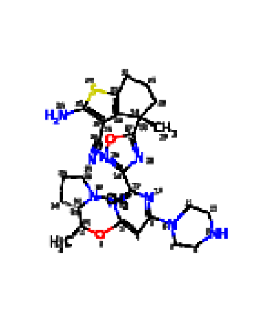 C[C@H](Oc1cc(N2CCNCC2)nc(-c2noc([C@@]3(C)CCCc4sc(N)c(C#N)c43)n2)n1)[C@@H]1CCCN1C